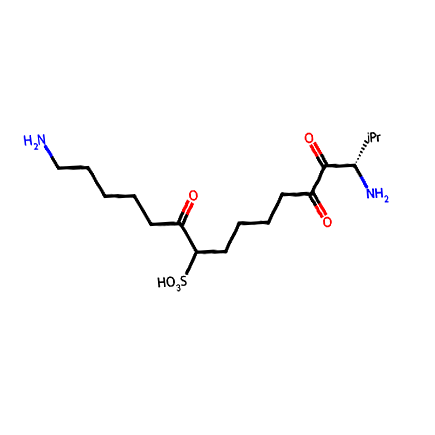 CC(C)[C@H](N)C(=O)C(=O)CCCCC(C(=O)CCCCCN)S(=O)(=O)O